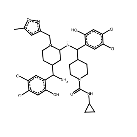 Cc1cc(CN2CCC(C(N)c3cc(Cl)c(Cl)cc3O)CC2NC(c2cc(Cl)c(Cl)cc2O)C2CCN(C(=O)NC3CC3)CC2)no1